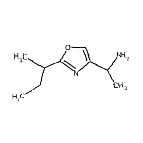 CCC(C)c1nc(C(C)N)co1